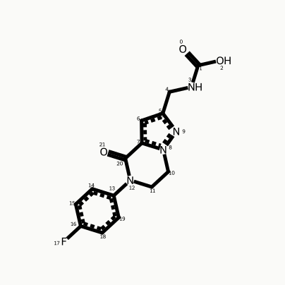 O=C(O)NCc1cc2n(n1)CCN(c1ccc(F)cc1)C2=O